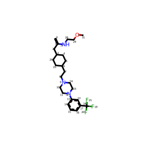 C=C(CC1CCC(CCN2CCN(c3cccc(C(F)(F)F)c3)CC2)CC1)NCCOC